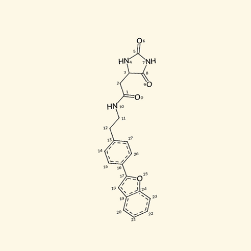 O=C(CC1NC(=O)NC1=O)NCCc1ccc(-c2cc3ccccc3o2)cc1